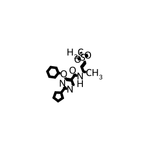 CC(C=CS(C)(=O)=O)NC(=O)c1cnc(C2CCCC2)nc1OC1CCCCC1